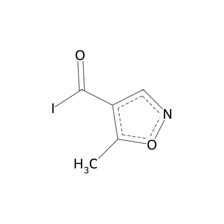 Cc1oncc1C(=O)I